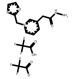 NNC(=O)Cc1ccc[n+](Cc2ncco2)c1.O=C(O)C(F)(F)F.O=C([O-])C(F)(F)F